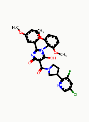 COc1cccc(-c2nc(=O)c(C(=O)N3CCC(c4ncc(Cl)cc4F)C3)c(O)n2-c2c(OC)cccc2OC)c1